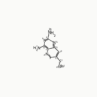 CC(C)(C)Sc1cnc2c(N)nc(N)nc2c1